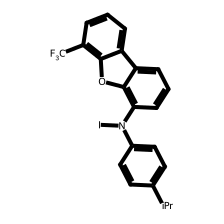 CC(C)c1ccc(N(I)c2cccc3c2oc2c(C(F)(F)F)cccc23)cc1